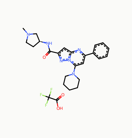 CN1CC[C@H](NC(=O)c2cc3nc(-c4ccccc4)cc(N4CCCCC4)n3n2)C1.O=C(O)C(F)(F)F